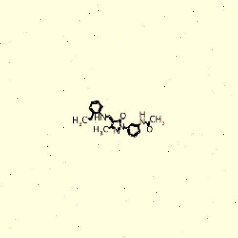 CCc1ccccc1N/C=C1/C(=O)N(c2cccc(NC(C)=O)c2)N=C1C